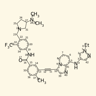 CCn1cc(Nc2cccn3c(C#Cc4cc(C(=O)Nc5ccc(CN6CCC(N(C)C)C6)c(C(F)(F)F)c5)ccc4C)cnc23)cn1